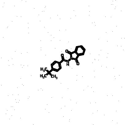 CC(C)(C)c1ccc(C(=O)NN2C(=O)c3ccccc3C2=O)cc1